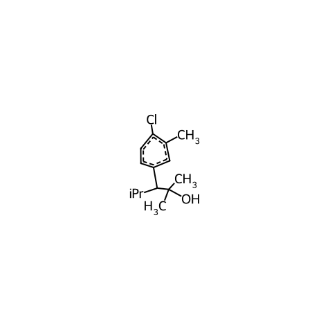 Cc1cc(C(C(C)C)C(C)(C)O)ccc1Cl